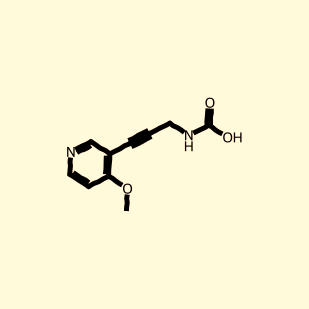 COc1ccncc1C#CCNC(=O)O